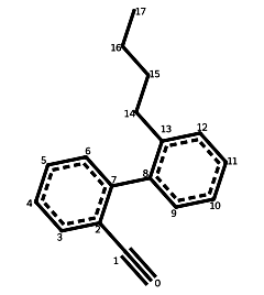 C#Cc1ccccc1-c1ccccc1CCCC